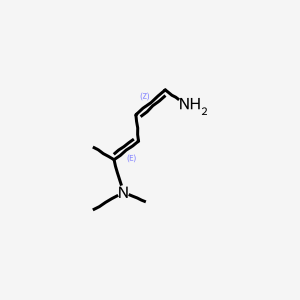 C/C(=C\C=C/N)N(C)C